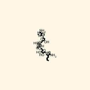 C/C=C\C=C(/CNC1OC(COP(=O)(O)OP(=O)(O)OCC2OC(n3cnc4c(N)ncnc43)CC2O)C(O)C1O)C(N)=O